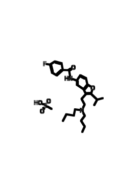 CCCCN(CCCC)CCc1c(C(C)C)oc2ccc(NC(=O)c3ccc(F)cc3)cc12.CS(=O)(=O)O